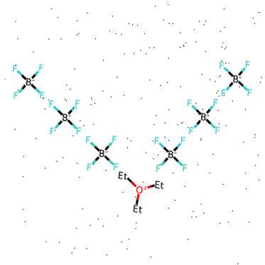 CC[O+](CC)CC.F[B-](F)(F)F.F[B-](F)(F)F.F[B-](F)(F)F.F[B-](F)(F)F.F[B-](F)(F)F.F[B-](F)(F)F